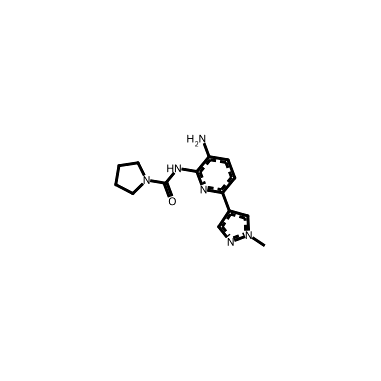 Cn1cc(-c2ccc(N)c(NC(=O)N3CCCC3)n2)cn1